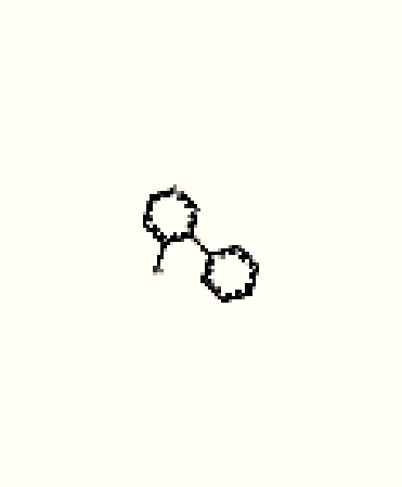 Brc1ccnnc1-c1ccccc1